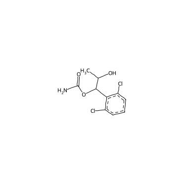 CC(O)C(OC(N)=O)c1c(Cl)cccc1Cl